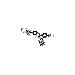 CC(C)(C)c1ccc(N(Cc2ccc(-c3nnc(C(F)(F)F)o3)cc2)C(=O)N2CCS(=O)(=O)CC2)cc1